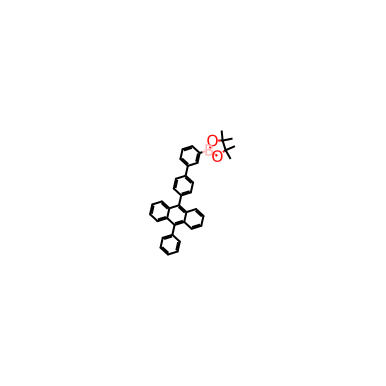 CC1(C)OB(c2cccc(-c3ccc(-c4c5ccccc5c(-c5ccccc5)c5ccccc45)cc3)c2)OC1(C)C